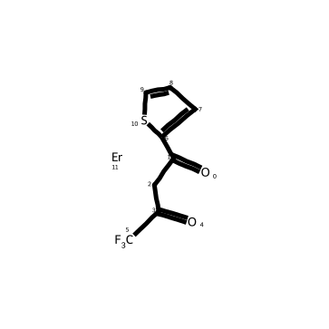 O=C(CC(=O)C(F)(F)F)c1cccs1.[Er]